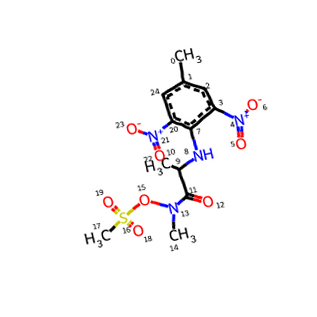 Cc1cc([N+](=O)[O-])c(NC(C)C(=O)N(C)OS(C)(=O)=O)c([N+](=O)[O-])c1